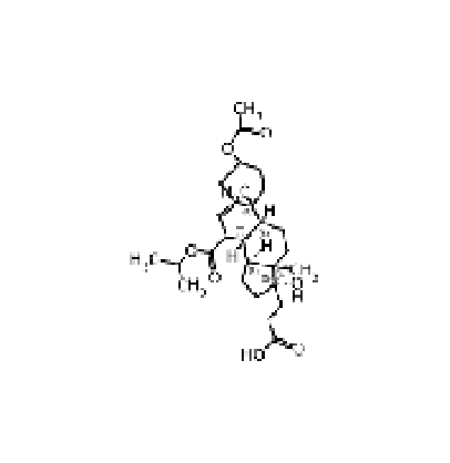 CC(=O)OC1CC[C@@]2(C)C(=CC(C(=O)OC(C)C)[C@@H]3[C@@H]2CC[C@@]2(C)[C@H]3CC[C@]2(O)CCC(=O)O)C1